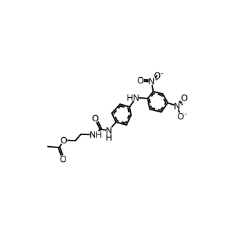 CC(=O)OCCNC(=O)Nc1ccc(Nc2ccc([N+](=O)[O-])cc2[N+](=O)[O-])cc1